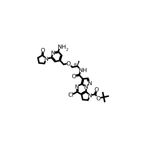 C[C@H](COCc1cc(N)nc(N2CCCC2=O)c1)NC(=O)c1cnn2c3c(c(Cl)nc12)CCN3C(=O)OC(C)(C)C